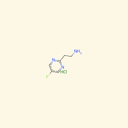 Cl.NCCc1ncc(F)cn1